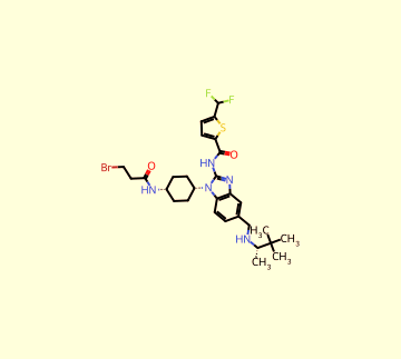 C[C@H](NCc1ccc2c(c1)nc(NC(=O)c1ccc(C(F)F)s1)n2[C@H]1CC[C@@H](NC(=O)CCBr)CC1)C(C)(C)C